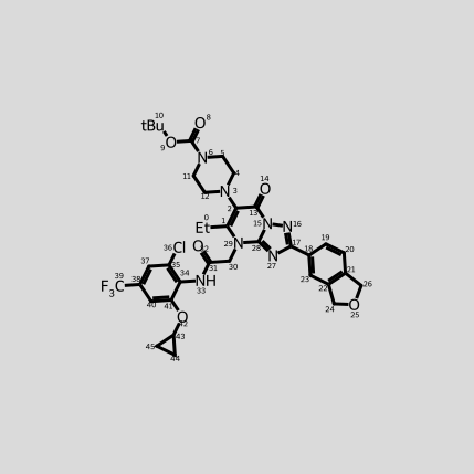 CCc1c(N2CCN(C(=O)OC(C)(C)C)CC2)c(=O)n2nc(-c3ccc4c(c3)COC4)nc2n1CC(=O)Nc1c(Cl)cc(C(F)(F)F)cc1OC1CC1